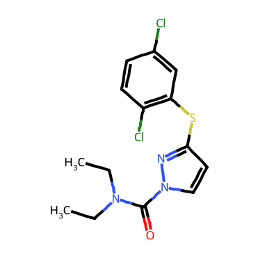 CCN(CC)C(=O)n1ccc(Sc2cc(Cl)ccc2Cl)n1